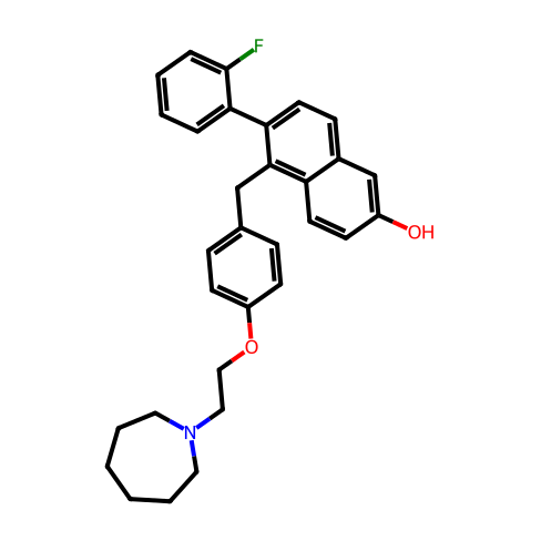 Oc1ccc2c(Cc3ccc(OCCN4CCCCCC4)cc3)c(-c3ccccc3F)ccc2c1